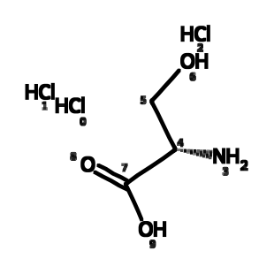 Cl.Cl.Cl.N[C@@H](CO)C(=O)O